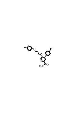 Cc1ccc(OCCCOc2cnc(C(N)=O)cc2-c2ccc(F)cc2)cn1